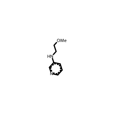 COCCNc1cccnc1